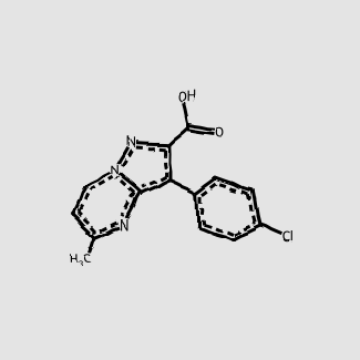 Cc1ccn2nc(C(=O)O)c(-c3ccc(Cl)cc3)c2n1